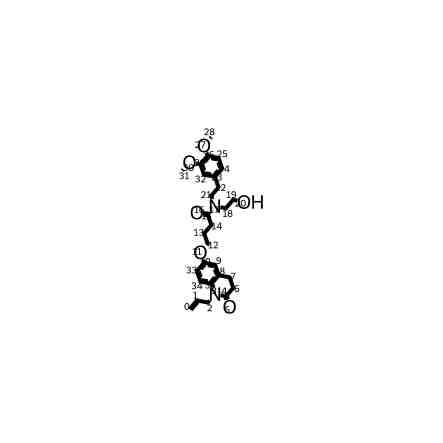 C=CCN1C(=O)CCc2cc(OCCCC(=O)N(CCO)CCc3ccc(OC)c(OC)c3)ccc21